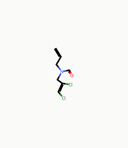 C=CCN([C]=O)CC(Cl)=CCl